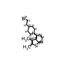 Cc1sc2ncnc(N3CCC(CCBr)CC3)c2c1C